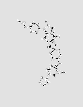 CNCc1ccc(-c2c3ncn(CC4(O)CCN(Cc5ccc(-c6ccco6)cc5F)CC4)c(=O)c3nn2C)cc1